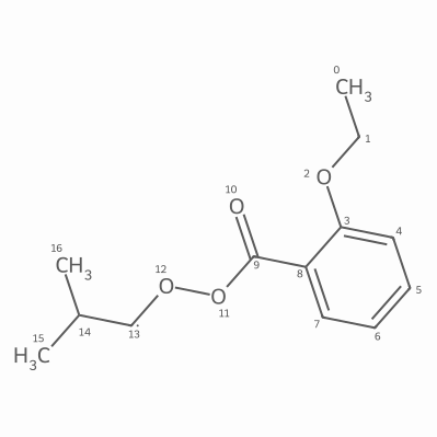 CCOc1ccccc1C(=O)OO[CH]C(C)C